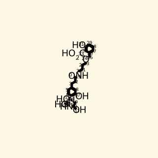 O=C(CCc1ccc(N2CC(O)NS2(O)O)c(O)c1)NCCCCOCc1cccc(O)c1C(=O)O